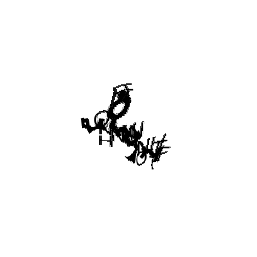 O=C(CCC(F)(F)F)NC(c1cnn2cc([C@@H](NC(=O)C3CC34CCC4)C3CCC(F)(F)CC3)nc2c1)C1CC1